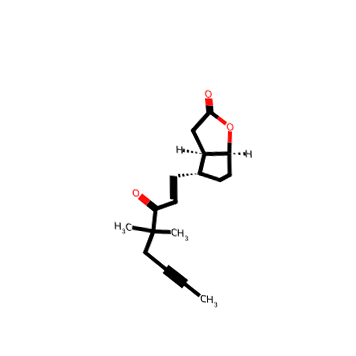 CC#CCC(C)(C)C(=O)/C=C/[C@H]1CC[C@@H]2OC(=O)C[C@@H]21